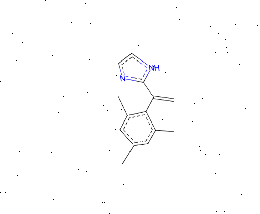 C=C(c1ncc[nH]1)c1c(C)cc(C)cc1C